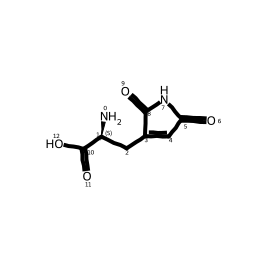 N[C@@H](CC1=CC(=O)NC1=O)C(=O)O